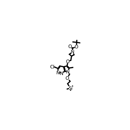 Cc1c(OCC2CN(C(=O)OC(C)(C)C)C2)c2cc(Cl)nnc2n1COCC[Si](C)(C)C